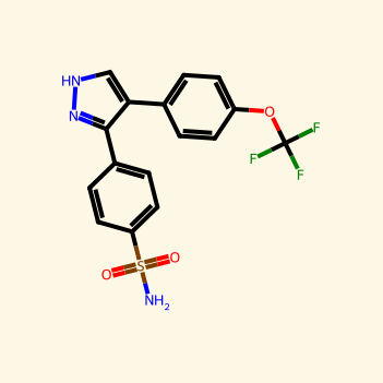 NS(=O)(=O)c1ccc(-c2n[nH]cc2-c2ccc(OC(F)(F)F)cc2)cc1